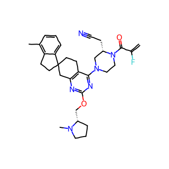 C=C(F)C(=O)N1CCN(c2nc(OC[C@@H]3CCCN3C)nc3c2CCC2(CCc4c(C)cccc42)C3)C[C@@H]1CC#N